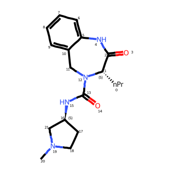 CCC[C@H]1C(=O)Nc2ccccc2CN1C(=O)N[C@H]1CCN(C)C1